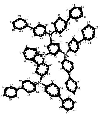 c1ccc(-c2ccc(N(c3ccc(-c4ccccc4)cc3)c3cc(N(c4ccc(-c5ccccc5)cc4)c4ccc(-c5ccccc5)cc4)cc(-n4c5ccccc5c5cc(N(c6ccc(-c7ccccc7)cc6)c6ccc(-c7ccccc7)cc6)ccc54)c3)cc2)cc1